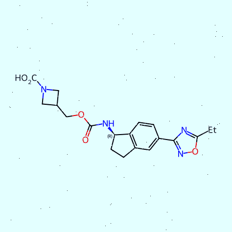 CCc1nc(-c2ccc3c(c2)CC[C@H]3NC(=O)OCC2CN(C(=O)O)C2)no1